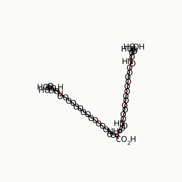 C[C@@H]1O[C@@H](OCCOCCNC(=O)CCOCCOCCOCCOCCOCCOCCOCCOCCOCCOCCOCCOCCNC(=O)COc2ccc(-c3cc(OCC(=O)NCCOCCOCCOCCOCCOCCOCCOCCOCCOCCOCCOCCOCCC(=O)NCCOCCO[C@@H]4O[C@@H](C)[C@H](O)[C@@H](O)[C@H]4O)cc(C(=O)O)c3)cc2)[C@H](O)[C@H](O)[C@H]1O